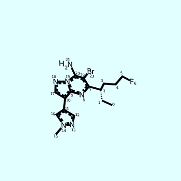 CC[C@@H](CCCF)c1nc2c(-c3cnn(C)c3)cnn2c(N)c1Br